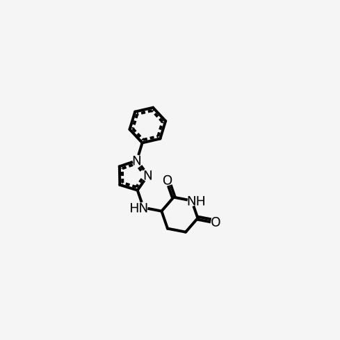 O=C1CCC(Nc2ccn(-c3ccccc3)n2)C(=O)N1